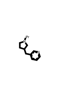 CC(C)N1CCC(Cc2cccnc2)C1